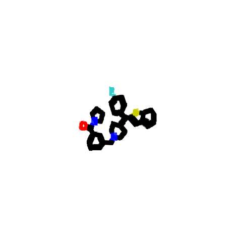 O=C(c1cccc(CN2CCC(=C(c3ccc(F)cc3)c3cc4ccccc4s3)CC2)c1)N1CCCC1